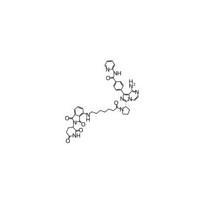 Nc1nccn2c([C@@H]3CCCN3C(=O)CCCCCCNc3cccc4c3C(=O)N(C3CCC(=O)NC3=O)C4=O)nc(-c3ccc(C(=O)Nc4ccccn4)cc3)c12